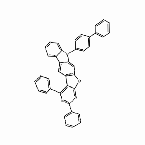 c1ccc(-c2ccc(-n3c4ccccc4c4cc5c(cc43)oc3nc(-c4ccccc4)nc(-c4ccccc4)c35)cc2)cc1